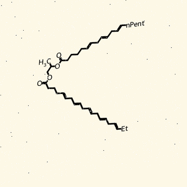 CCC=CCC=CCC=CCC=CCC=CCCCC(=O)OCC(C)OC(=O)CCCCC=CCC=CCC=CCCCCC